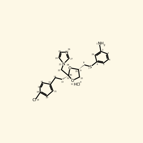 Cl.Nc1cccc(SC[C@@H]2CO[C@@](CCc3ccc(Cl)cc3)(Cn3ccnc3)O2)c1